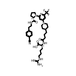 N#Cc1ccc(CCNC(=O)[C@@H]2CCCN2c2cc(N3CCC(CCCC(=O)N[C@@H](CCCCNC(=N)N)C(=O)O)CC3)cc(C(F)(F)F)n2)cc1